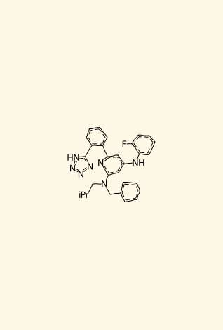 CC(C)CN(Cc1ccccc1)c1cc(Nc2ccccc2F)cc(-c2ccccc2-c2nnn[nH]2)n1